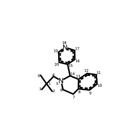 CC(C)(C)CN1CCc2ccccc2C1c1ccncc1